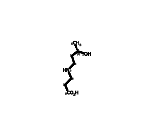 C[C@@H](O)CCNCCC(=O)O